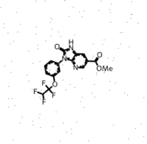 COC(=O)c1cnc2c(c1)[nH]c(=O)n2-c1cccc(OC(F)(F)C(F)F)c1